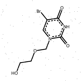 O=c1[nH]c(=O)n(COCCO)cc1Br